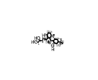 OC[C@H](O)CNc1nnc(-c2c(O)cc(C(F)(F)F)cc2F)c2ccccc12